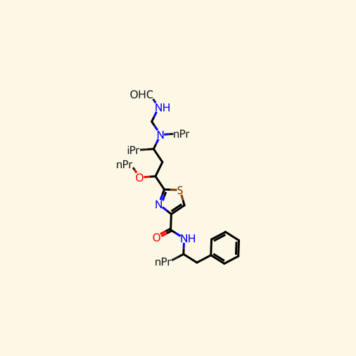 CCCOC(CC(C(C)C)N(CCC)CNC=O)c1nc(C(=O)NC(CCC)Cc2ccccc2)cs1